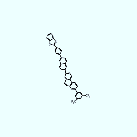 FC(F)(F)c1cc(-c2ccc3c(ccc4cc(-c5ccc6cc(-c7ccc(-c8nc9ccccc9s8)cc7)ccc6c5)ccc43)c2)cc(C(F)(F)F)c1